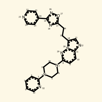 c1ccc(N2CCN(c3ccc4ncc(CCc5nc(-c6ccncc6)no5)n4n3)CC2)nc1